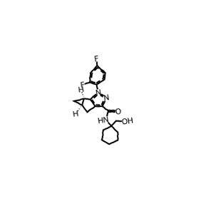 O=C(NC1(CO)CCCCC1)c1nn(-c2ccc(F)cc2F)c2c1C[C@H]1C[C@@H]21